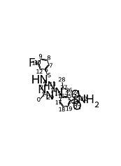 Cc1nc(NCc2cccc(F)c2)nc(N2c3cccc(S(N)(=O)=O)c3CC2C)n1